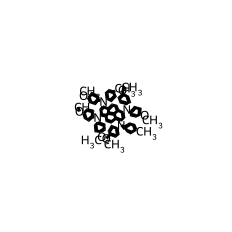 COc1ccc(N(c2ccc(C)cc2)c2cc(N(c3ccc(OC)cc3)c3ccc(OC)cc3)c3ccc4c(N(c5ccc(C)cc5)c5ccc(OC)cc5)cc(N(c5ccc(OC)cc5)c5ccc(OC)cc5)c5ccc2c3c45)cc1